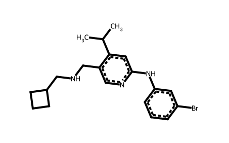 CC(C)c1cc(Nc2cccc(Br)c2)ncc1CNCC1CCC1